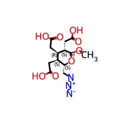 CO[C@H]1O[C@H](CN=[N+]=[N-])[C@@H](CC(=O)O)[C@@H](CC(=O)O)[C@@H]1CC(=O)O